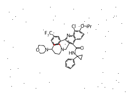 CC(C)Oc1ccc2c(C(=O)NC3(c4ccccc4)CC3)c(CN3CCC(N4CCOCC4)CC3)c(-c3cccc(C(F)(F)F)c3)nc2c1Cl